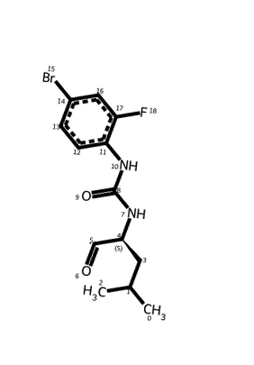 CC(C)C[C@@H]([C]=O)NC(=O)Nc1ccc(Br)cc1F